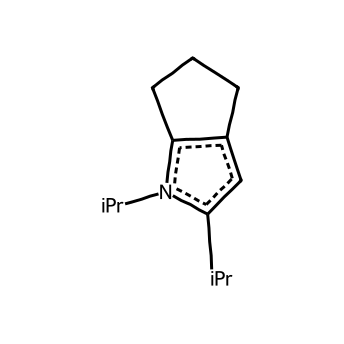 CC(C)c1cc2c(n1C(C)C)CCC2